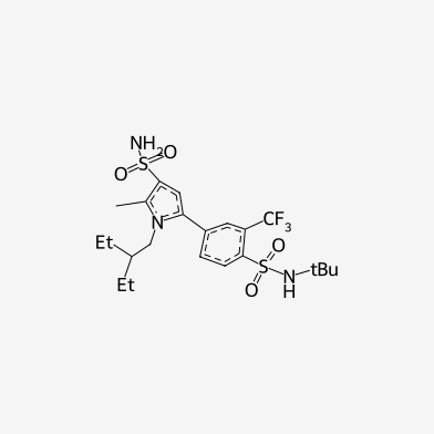 CCC(CC)Cn1c(-c2ccc(S(=O)(=O)NC(C)(C)C)c(C(F)(F)F)c2)cc(S(N)(=O)=O)c1C